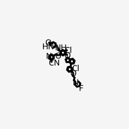 N#Cc1cncc(COc2cc(O[C@H]3CCc4c(-c5cccc(OCCCN6CCC(F)CC6)c5Cl)cccc43)c(Cl)cc2CN[C@@H]2CCC(=O)NC2)c1